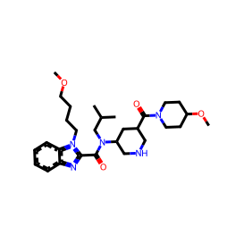 COCCCCn1c(C(=O)N(CC(C)C)C2CNCC(C(=O)N3CCC(OC)CC3)C2)nc2ccccc21